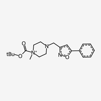 CC(C)(C)OC(=O)[N+]1(C)CCN(Cc2cc(-c3ccccc3)on2)CC1